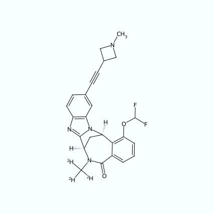 [2H]C([2H])([2H])N1C(=O)c2cccc(OC(F)F)c2[C@H]2C[C@@H]1c1nc3ccc(C#CC4CN(C)C4)cc3n12